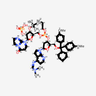 COc1ccc(C(OC[C@H]2O[C@@H](n3ccc4c(/N=C\N(C)C)ccnc43)C[C@@H]2OP(OCCC#N)OC[C@H]2O[C@@H](n3ccc(=O)n4ccnc34)[C@H](O[PH](=O)O)[C@@H]2O[Si](C)(C)C(C)(C)C)(c2ccccc2)c2ccc(OC)cc2)cc1